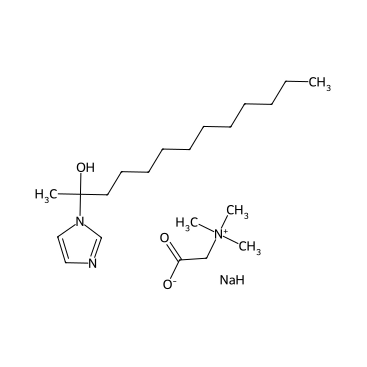 CCCCCCCCCCCC(C)(O)n1ccnc1.C[N+](C)(C)CC(=O)[O-].[NaH]